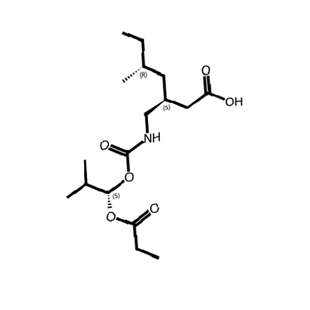 CCC(=O)O[C@@H](OC(=O)NC[C@H](CC(=O)O)C[C@H](C)CC)C(C)C